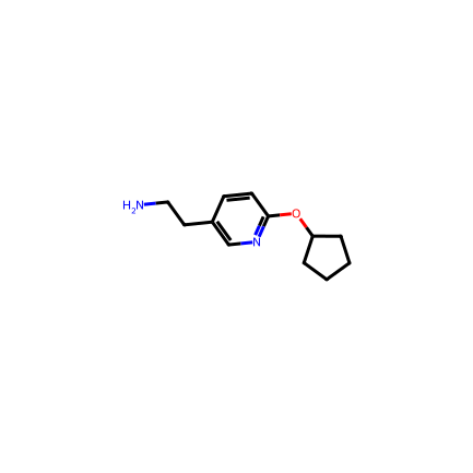 NCCc1ccc(OC2CCCC2)nc1